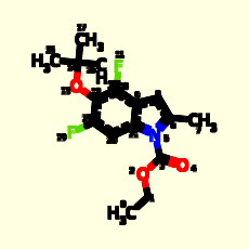 CCOC(=O)n1c(C)cc2c(F)c(OC(C)(C)C)c(F)cc21